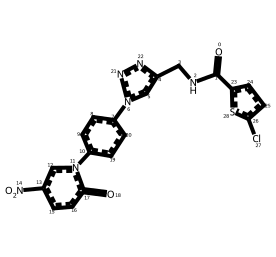 O=C(NCc1cn(-c2ccc(-n3cc([N+](=O)[O-])ccc3=O)cc2)nn1)c1ccc(Cl)s1